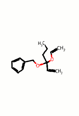 C=COC(C=C)(CCC)OCc1ccccc1